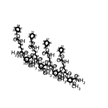 COc1ccc(NC(=O)[C@H](CCCCNC(=O)OCc2ccccc2)NC(=O)c2cc(NC(=O)[C@H](CCCCNC(=O)OCc3ccccc3)NC(=O)c3cc(NC(=O)C(CCCCNC(=O)OCc4ccccc4)NC(=O)c4cc(NC(=O)[C@@H](N)CCCCNC(=O)OCc5ccccc5)ccc4OC)ccc3OC)ccc2OC)cc1C(N)=O